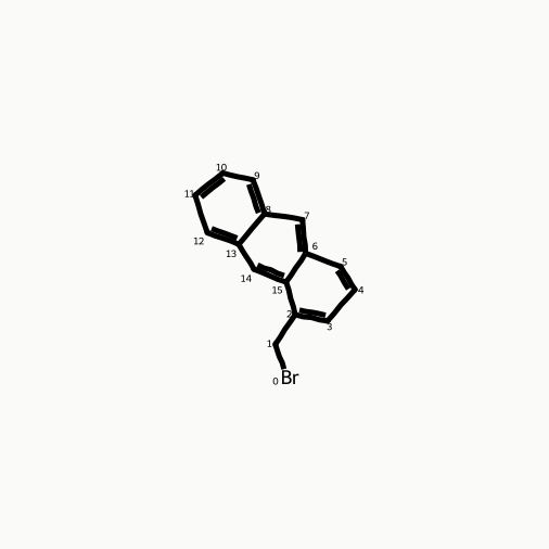 BrCc1cccc2cc3ccccc3cc12